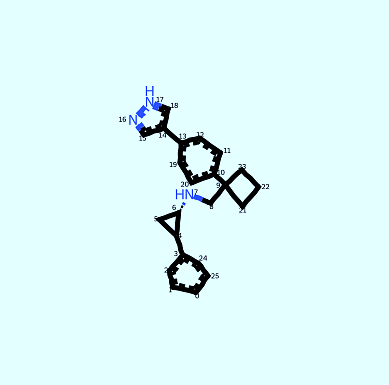 c1ccc(C2C[C@@H]2NCC2(c3ccc(-c4cn[nH]c4)cc3)CCC2)cc1